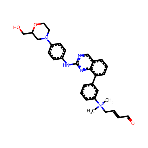 C[N+](C)(C/C=C/C=O)c1cccc(-c2cccc3cnc(Nc4ccc(N5CCOC(CO)C5)cc4)nc23)c1